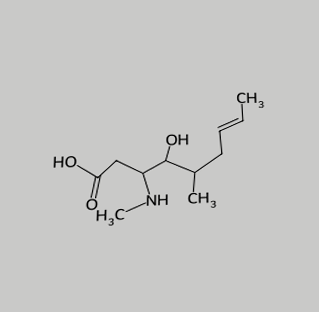 C/C=C/CC(C)C(O)C(CC(=O)O)NC